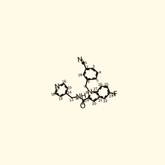 N#Cc1cccc(Cn2c(C(=O)NCc3ccncc3)cc3cc(F)ccc32)c1